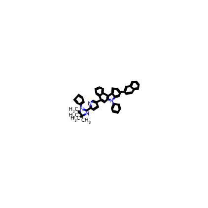 CC1(C)N=C(c2ccc(-c3cc4c(c5ccccc35)c3ccc(-c5ccc6ccccc6c5)cc3n4-c3ccccc3)cn2)N(c2ccccc2)C1(C)C